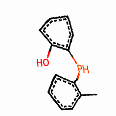 Cc1ccccc1Pc1ccccc1O